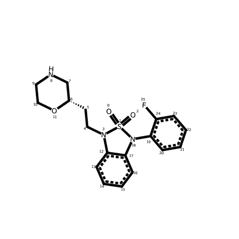 O=S1(=O)N(CC[C@H]2CNCCO2)c2ccccc2N1c1ccccc1F